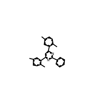 Cc1ccc(C)c(-c2cc(-c3cc(C)ccc3C)nc(-c3ccccc3)n2)c1